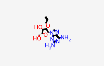 C=CCO[C@@H]1[C@H](O)[C@@H](CO)O[C@H]1n1cnc2c(N)nc(N)nc21